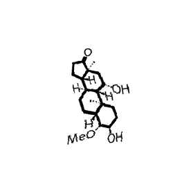 CO[C@H]1[C@H](O)CC[C@]2(C)[C@@H]3[C@@H](CC[C@@H]12)[C@@H]1CCC(=O)[C@@]1(C)C[C@@H]3O